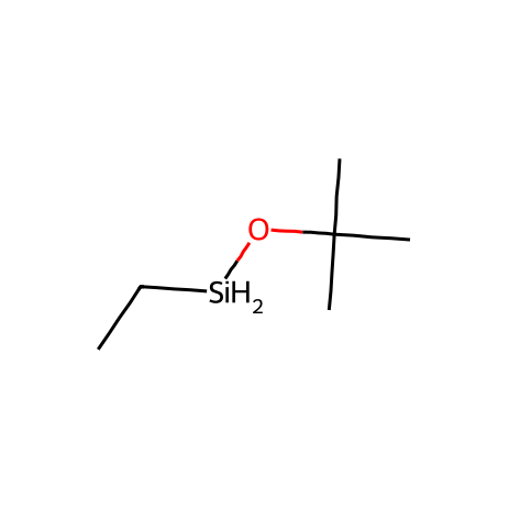 CC[SiH2]OC(C)(C)C